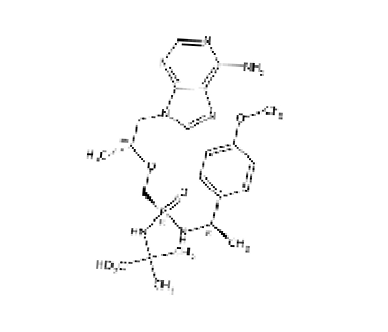 C[C@H](Cn1cnc2c(N)ncnc21)OC[P@@](=O)(N[C@H](C)c1ccc(OC(F)(F)F)cc1)NC(C)(C)C(=O)O